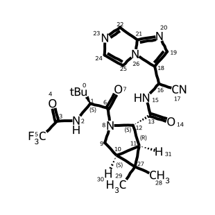 CC(C)(C)[C@H](NC(=O)C(F)(F)F)C(=O)N1C[C@H]2[C@@H]([C@H]1C(=O)NC(C#N)c1cnc3cnccn13)C2(C)C